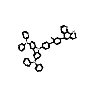 Cc1cc(-c2cc3cccnc3c3ncccc23)ccc1-c1ccc(-n2c3ccc(N(c4ccccc4)c4ccccc4)cc3c3cc(N(c4ccccc4)c4ccccc4)ccc32)cc1